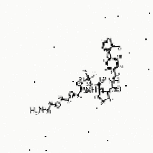 Cc1ncsc1-c1ccc(CNC(=O)C2CCCN2C(=O)C(NC(=O)COCCOCCN)C(C)(C)C)cc1